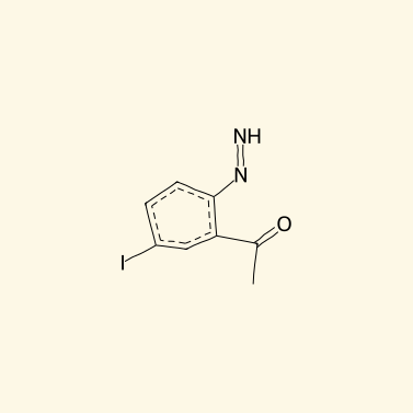 CC(=O)c1cc(I)ccc1N=N